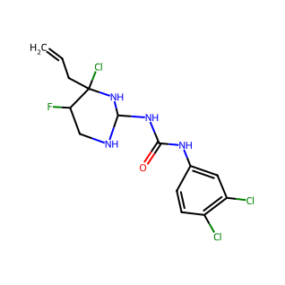 C=CCC1(Cl)NC(NC(=O)Nc2ccc(Cl)c(Cl)c2)NCC1F